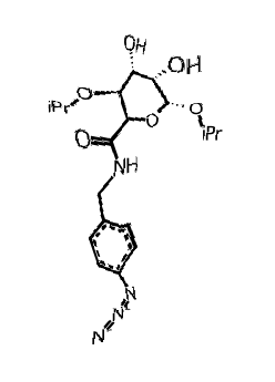 CC(C)O[C@@H]1OC(C(=O)NCc2ccc(N=[N+]=[N-])cc2)[C@@H](OC(C)C)[C@H](O)[C@@H]1O